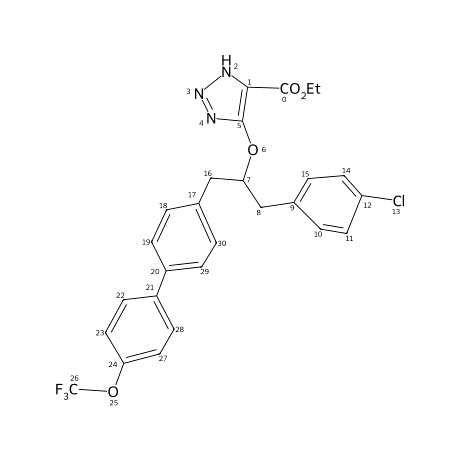 CCOC(=O)c1[nH]nnc1OC(Cc1ccc(Cl)cc1)Cc1ccc(-c2ccc(OC(F)(F)F)cc2)cc1